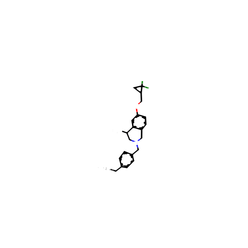 CC(=O)NCc1ccc(CN2Cc3ccc(OCC4CC4(F)F)cc3C(C)C2)cc1